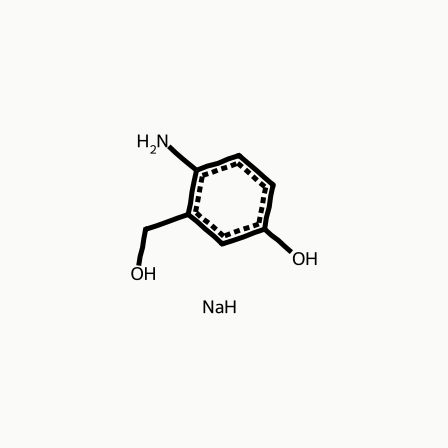 Nc1ccc(O)cc1CO.[NaH]